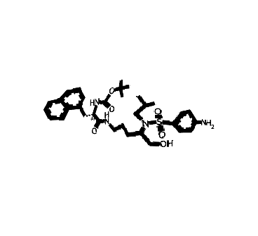 CC(C)CN(C(CO)CCCNC(=O)[C@H](Cc1cccc2ccccc12)NC(=O)OC(C)(C)C)S(=O)(=O)c1ccc(N)cc1